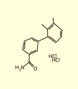 Cc1cccc(-c2cccc(C(N)=O)c2)c1C.Cl.Cl